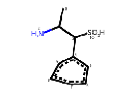 CC(N)C(c1ccccc1)S(=O)(=O)O